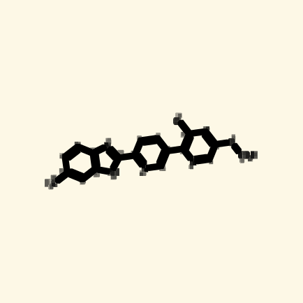 O=C(O)Oc1cnc(-c2ccc(-c3nc4ccc(C(F)(F)F)cc4[nH]3)nc2)c(Cl)c1